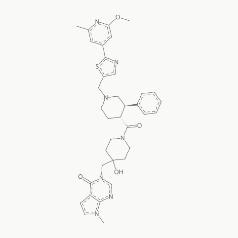 COc1cc(-c2ncc(CN3CC[C@@H](C(=O)N4CCC(O)(Cn5cnc6c(ccn6C)c5=O)CC4)[C@H](c4ccccc4)C3)s2)cc(C)n1